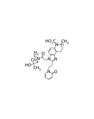 C[C@H]1CCc2c(ccc3c2nc(CCn2ccccc2=O)n3CC(=O)N(C)CC(C)(C)O)N1C(=O)O